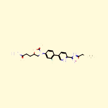 COCc1nc(-c2ccc(-c3ccc(N4CC(CCC(N)=O)OC4=O)cc3F)cn2)no1